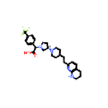 O=C(O)C(c1ccc(C(F)(F)F)cc1)N1CC[C@@H](N2CCC(CCc3ccc4c(n3)NCCC4)CC2)C1